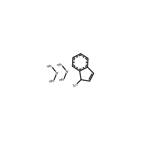 CCC[N-]CCC.CCC[N-]CCC.[Ti+2][CH]1C=Cc2ccccc21